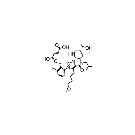 COCCCCc1c(C(=O)N(CC(C)C)[C@@H]2CNC[C@H](C(C)O)C2)nnn1-c1cccc(F)c1F.O=C(O)/C=C/C(=O)O